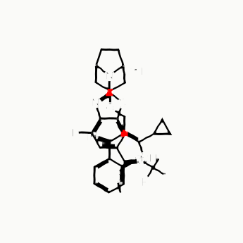 COC(=O)c1cc(F)c2nc(N3C4CC[C@H]3CC(OC/C(C(=N)c3ccccc3OC(F)(F)F)=C(/O)C3CC3)C4)sc2c1